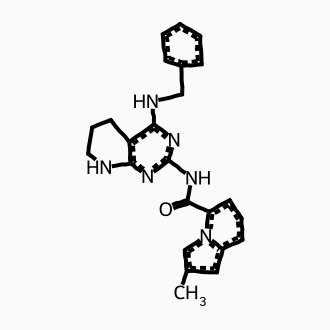 Cc1cc2cccc(C(=O)Nc3nc4c(c(NCc5ccccc5)n3)CCCN4)n2c1